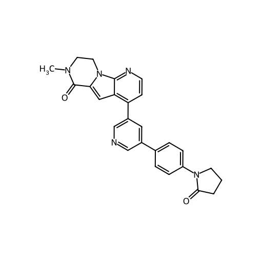 CN1CCn2c(cc3c(-c4cncc(-c5ccc(N6CCCC6=O)cc5)c4)ccnc32)C1=O